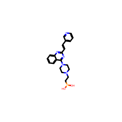 OP(O)CCN1CCN(c2nc(/C=C/c3cccnc3)nc3ccccc23)CC1